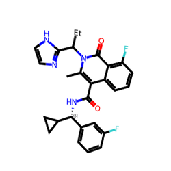 CCC(c1ncc[nH]1)n1c(C)c(C(=O)N[C@H](c2cccc(F)c2)C2CC2)c2cccc(F)c2c1=O